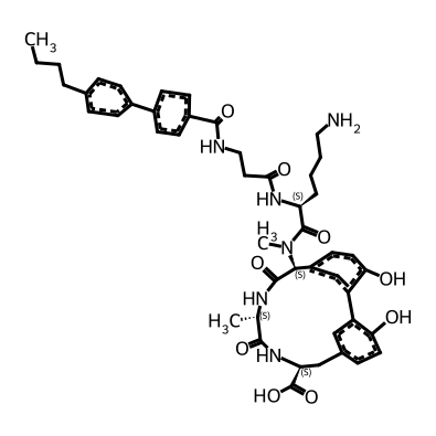 CCCCc1ccc(-c2ccc(C(=O)NCCC(=O)N[C@@H](CCCCN)C(=O)N(C)[C@@H]3C(=O)N[C@@H](C)C(=O)N[C@H](C(=O)O)Cc4ccc(O)c(c4)-c4cc3ccc4O)cc2)cc1